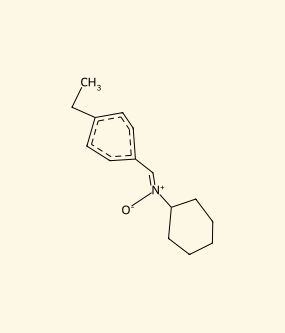 CCc1ccc(C=[N+]([O-])C2CCCCC2)cc1